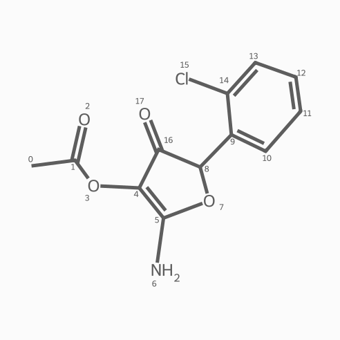 CC(=O)OC1=C(N)OC(c2ccccc2Cl)C1=O